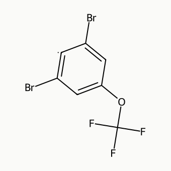 FC(F)(F)Oc1cc(Br)[c]c(Br)c1